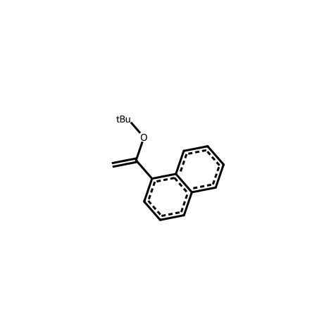 C=C(OC(C)(C)C)c1cccc2ccccc12